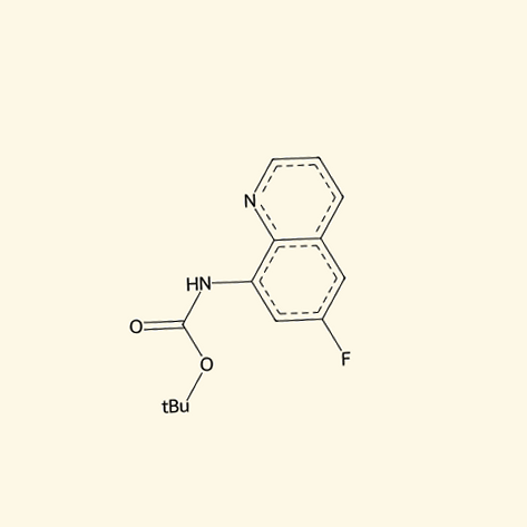 CC(C)(C)OC(=O)Nc1cc(F)cc2cccnc12